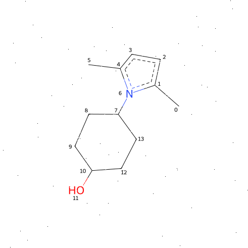 Cc1ccc(C)n1C1CCC(O)CC1